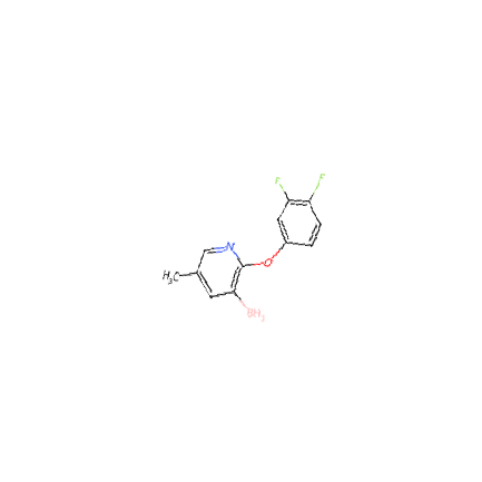 Bc1cc(C)cnc1Oc1ccc(F)c(F)c1